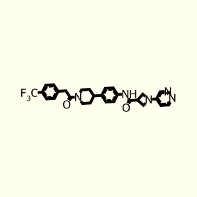 O=C(Nc1ccc(C2CCN(C(=O)Cc3ccc(C(F)(F)F)cc3)CC2)cc1)C1CN(c2ccnnc2)C1